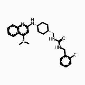 CN(C)c1cc(N[C@H]2CC[C@@H](CNC(=O)NCc3ccccc3Cl)CC2)nc2ccccc12